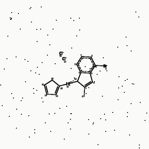 CC1=Cc2c(Br)cccc2[CH]1[Hf+2][C]1=CC=CC1.[Cl-].[Cl-]